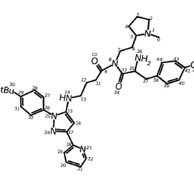 CN1CCCC1CCN(C(=O)CCCNc1cc(-c2ccccn2)nn1-c1ccc(C(C)(C)C)cc1)C(=O)C(N)Cc1ccc(O)cc1